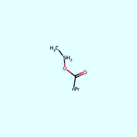 CCCC(=O)O[SiH2]C